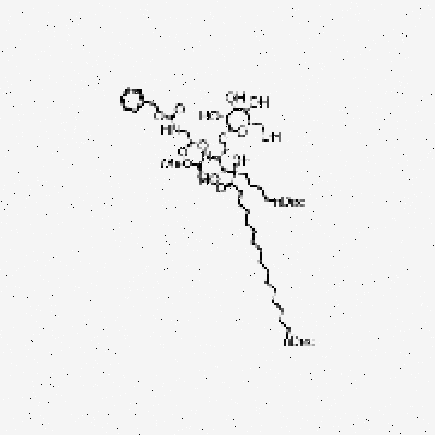 CCCCCCCCCCCCCCCCCCCCCCCCCC(=O)[C@@](O)(CCCCCCCCCCCCCC)[C@@H](O)[C@H](CO[C@H]1O[C@H](CO)[C@H](O)[C@H](O)[C@H]1O)N(OC(=O)CNC(=O)OCc1ccccc1)C(=O)OC